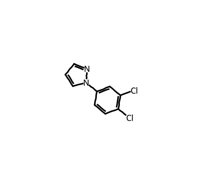 Clc1ccc(-n2cccn2)cc1Cl